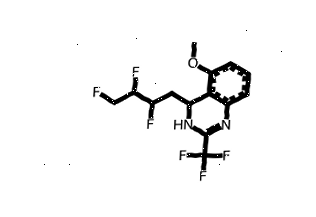 COc1cccc2c1C(CC(F)C(F)CF)NC(C(F)(F)F)=N2